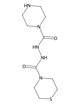 O=C(NNC(=O)N1CCSCC1)N1CCNCC1